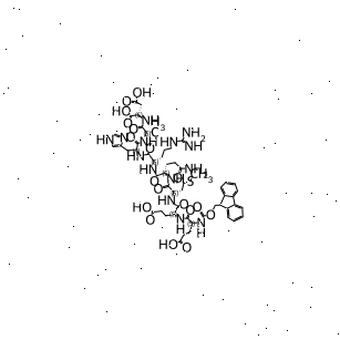 CSCC[C@H](NC(=O)[C@H](CCC(=O)O)NC(=O)[C@H](CCC(=O)O)NC(=O)OCC1c2ccccc2-c2ccccc21)C(=O)N[C@@H](CCC(N)=O)C(=O)N[C@@H](CCCNC(=N)N)C(=O)N[C@@H](Cc1c[nH]cn1)C(=O)N[C@@H](C)C(=O)N[C@@H](CC(=O)O)C(=O)O